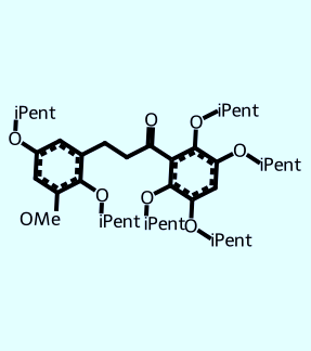 CCCC(C)Oc1cc(CCC(=O)c2c(OC(C)CCC)c(OC(C)CCC)cc(OC(C)CCC)c2OC(C)CCC)c(OC(C)CCC)c(OC)c1